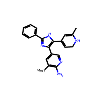 COc1cc(-c2nc(-c3ccccc3)[nH]c2C2=CCNC(C)=C2)cnc1N